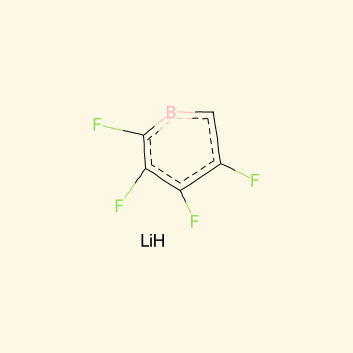 Fc1bcc(F)c(F)c1F.[LiH]